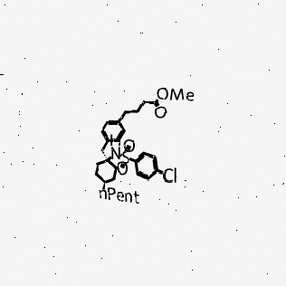 CCCCC[C@H]1CC[C@@](Cc2ccc(CCCC(=O)OC)cc2)(NS(=O)(=O)c2ccc(Cl)cc2)CC1